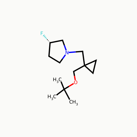 CC(C)(C)OCC1(CN2CC[C@H](F)C2)CC1